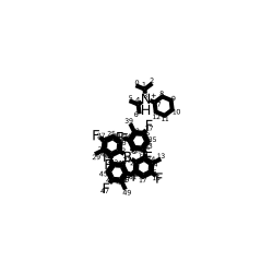 CC(C)[NH+](C(C)C)C1CCCCC1.Cc1c(F)cc(F)c([B-](c2c(F)cc(F)c(C)c2F)(c2c(F)cc(F)c(C)c2F)c2c(F)cc(F)c(C)c2F)c1F